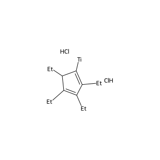 CCC1=[C]([Ti])C(CC)C(CC)=C1CC.Cl.Cl